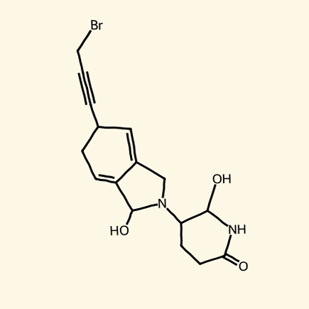 O=C1CCC(N2CC3=CC(C#CCBr)CC=C3C2O)C(O)N1